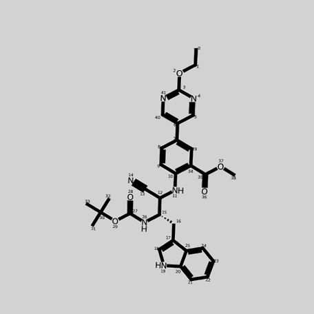 CCOc1ncc(-c2ccc(NC(C#N)[C@H](Cc3c[nH]c4ccccc34)NC(=O)OC(C)(C)C)c(C(=O)OC)c2)cn1